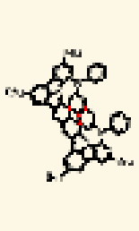 CC(C)(C)c1cc(N(c2ccccc2)c2ccccc2)c2c(c1)c1cc(C(C)(C)C)cc3c4cc5cc6c7cc(C(C)(C)C)cc8c9cc(C(C)(C)C)cc(N(c%10ccccc%10)c%10ccccc%10)c9n(c6cc5cc4n2c31)c78